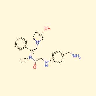 CN(C(=O)CNc1ccc(CN)cc1)[C@H](CN1CC[C@H](O)C1)c1ccccc1